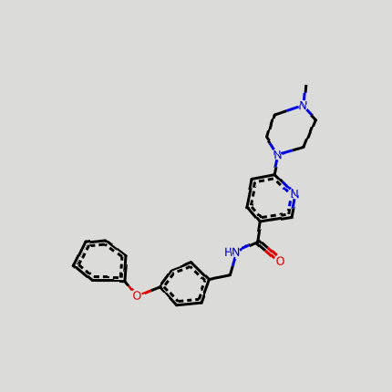 CN1CCN(c2ccc(C(=O)NCc3ccc(Oc4ccccc4)cc3)cn2)CC1